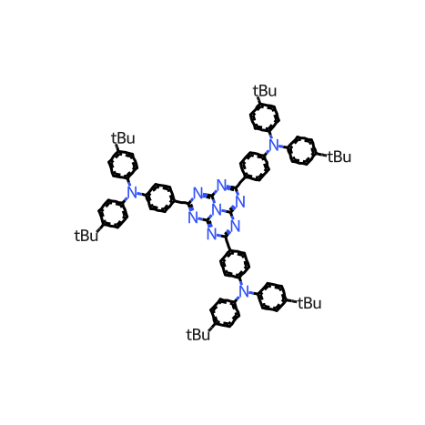 CC(C)(C)c1ccc(N(c2ccc(C3=NC4=NC(c5ccc(N(c6ccc(C(C)(C)C)cc6)c6ccc(C(C)(C)C)cc6)cc5)=NC5=NC(c6ccc(N(c7ccc(C(C)(C)C)cc7)c7ccc(C(C)(C)C)cc7)cc6)=NC(=N3)N45)cc2)c2ccc(C(C)(C)C)cc2)cc1